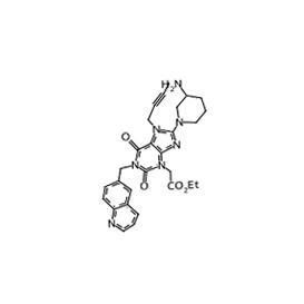 CC#CCn1c(N2CCCC(N)C2)nc2c1c(=O)n(Cc1ccc3ncccc3c1)c(=O)n2CC(=O)OCC